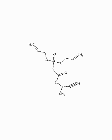 C#CC(C)OC(=O)CP(=O)(OCC=C)OCC=C